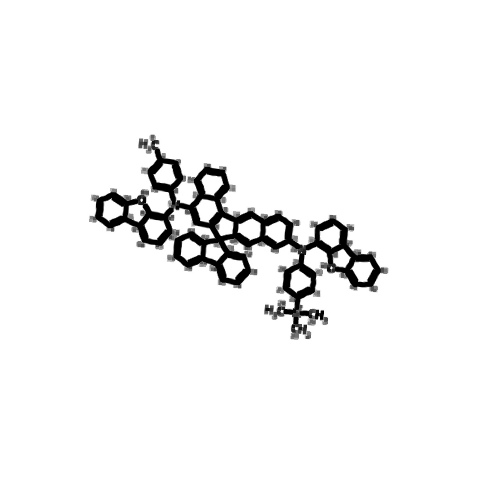 Cc1ccc(N(c2cc3c(c4ccccc24)-c2cc4ccc(N(c5ccc([Si](C)(C)C)cc5)c5cccc6c5oc5ccccc56)cc4cc2C32c3ccccc3-c3ccccc32)c2cccc3c2oc2ccccc23)cc1